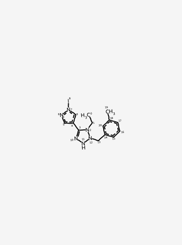 CCN1C(c2cnn(I)c2)=NNN1Cc1cccc(C)c1